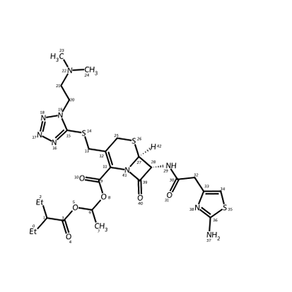 CCC(CC)C(=O)OC(C)OC(=O)C1=C(CSc2nnnn2CCN(C)C)CS[C@H]2[C@H](NC(=O)Cc3csc(N)n3)C(=O)N12